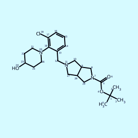 CC(C)(C)OC(=O)N1CC2CN(Cc3cccc(Cl)c3N3CCC(O)CC3)CC2C1